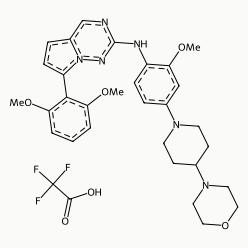 COc1cc(N2CCC(N3CCOCC3)CC2)ccc1Nc1ncc2ccc(-c3c(OC)cccc3OC)n2n1.O=C(O)C(F)(F)F